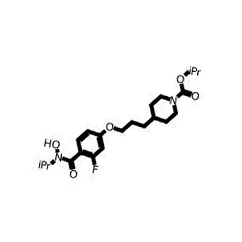 CC(C)OC(=O)N1CCC(CCCOc2ccc(C(=O)N(O)C(C)C)c(F)c2)CC1